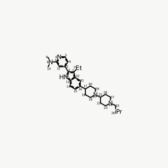 CCc1c(-c2ccnc(N(C)C)c2)[nH]c2ccc(C3CCN(C4CCN(CC(C)C)CC4)CC3)cc12